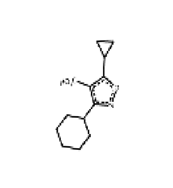 O=C(O)c1c(C2CCCCC2)noc1C1CC1